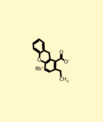 CCc1ccc2c(c1C(=O)[O-])Cc1ccccc1O2.[Rb+]